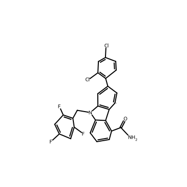 NC(=O)c1cccc2c1c1[c]cc(-c3ccc(Cl)cc3Cl)cc1n2Cc1c(F)cc(F)cc1F